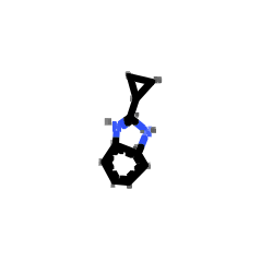 c1ccc2c(c1)[N]C(C1CC1)=N2